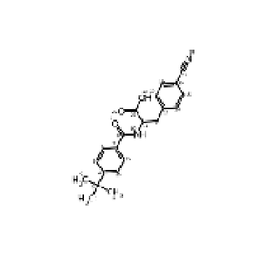 CC(C)(C)c1ccc(C(=O)NC(Cc2ccc(C#N)cc2)C(=O)O)cc1